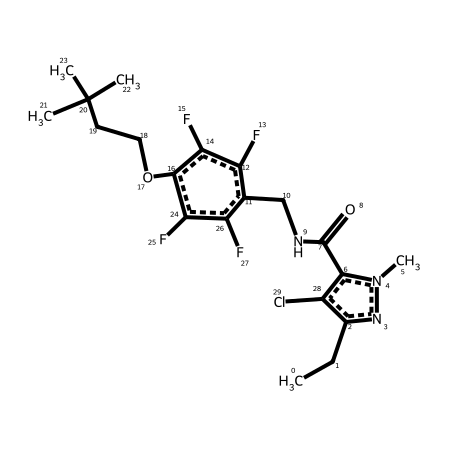 CCc1nn(C)c(C(=O)NCc2c(F)c(F)c(OCCC(C)(C)C)c(F)c2F)c1Cl